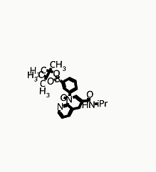 CC(C)NC(=O)C1=C[N+]([O-])(c2cccc(B3OC(C)(C)C(C)(C)O3)c2)c2ncccc2C1